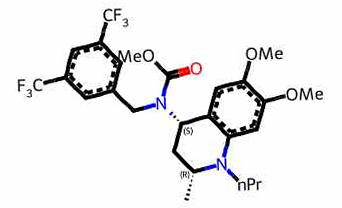 CCCN1c2cc(OC)c(OC)cc2[C@@H](N(Cc2cc(C(F)(F)F)cc(C(F)(F)F)c2)C(=O)OC)C[C@H]1C